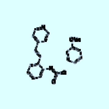 COc1ccccc1.O=S(=O)=Nc1ccccc1C=Cc1ccncc1